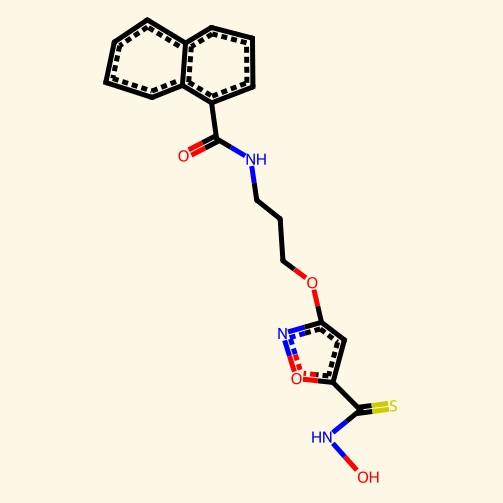 O=C(NCCCOc1cc(C(=S)NO)on1)c1cccc2ccccc12